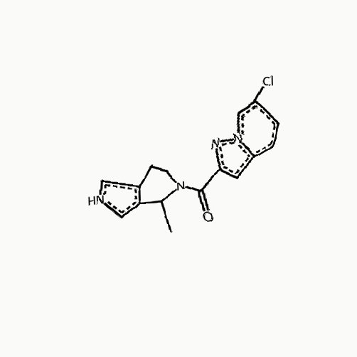 CC1c2c[nH]cc2CCN1C(=O)c1cc2ccc(Cl)cn2n1